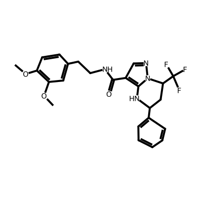 COc1ccc(CCNC(=O)c2cnn3c2NC(c2ccccc2)CC3C(F)(F)F)cc1OC